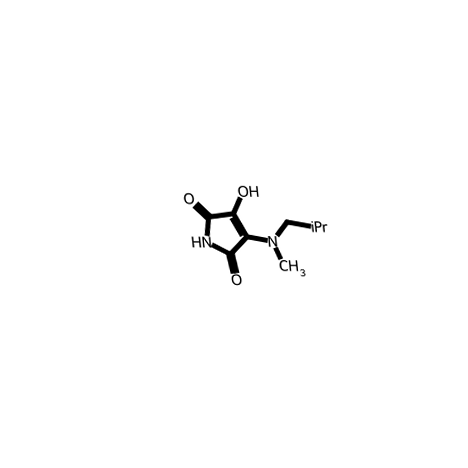 CC(C)CN(C)C1=C(O)C(=O)NC1=O